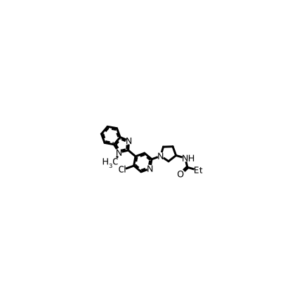 CCC(=O)NC1CCN(c2cc(-c3nc4ccccc4n3C)c(Cl)cn2)C1